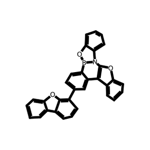 c1ccc2c(c1)OB1c3ccc(-c4cccc5c4oc4ccccc45)cc3-c3c(oc4ccccc34)N12